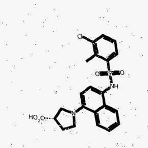 Cc1c(Cl)cccc1S(=O)(=O)Nc1ccc(N2CC[C@H](C(=O)O)C2)c2ccccc12